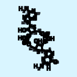 Nc1nc2c(ncn2C2SC3COP(=O)(O)OC4C(COP(=O)(O)OC2C3O)SC(n2cnc3c(N)ncnc32)C4O)c(=O)[nH]1